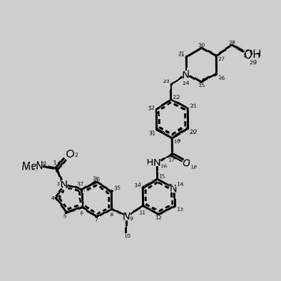 CNC(=O)n1ccc2cc(N(C)c3ccnc(NC(=O)c4ccc(CN5CCC(CO)CC5)cc4)c3)ccc21